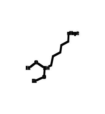 CCCCCCCCCCCC[SiH](OCC)OCC